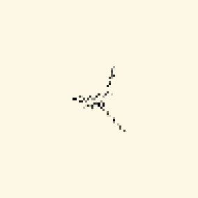 CCCCCCCCOC1=C(C)C(C)C(O)C=C1CCC(C)CC/C=C(\C)CC